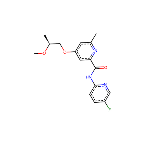 CO[C@@H](C)COc1cc(C)nc(C(=O)Nc2ccc(F)cn2)c1